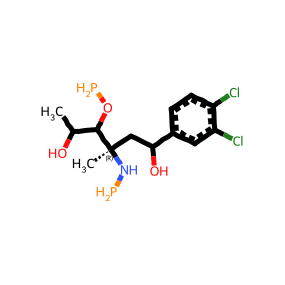 CC(O)C(OP)[C@@](C)(CC(O)c1ccc(Cl)c(Cl)c1)NP